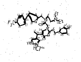 CCN(CC)CCN(Cc1ccc(-c2ccc(C(F)(F)F)cc2)cn1)C(=O)Cn1cc(C(C)c2cn[nH]c2)c(=O)nc1SCc1ccc(F)cc1.Cl